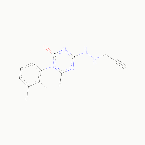 C#CCNNc1nc(CC)n(-c2cccc(CC)c2CC)c(=O)n1